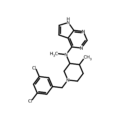 CC1CCN(Cc2cc(Cl)cc(Cl)c2)CC1N(C)c1ncnc2[nH]ccc12